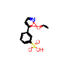 CCO[o+]1nccc1-c1cccc(S(=O)(=O)O)c1